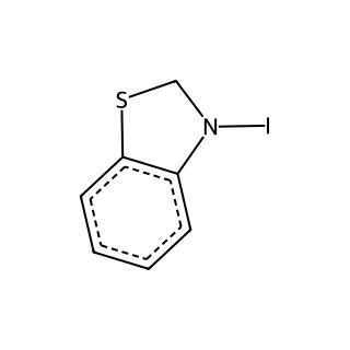 IN1CSc2ccccc21